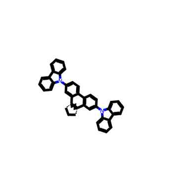 c1ccc2c(c1)c1ccccc1n2-c1ccc2c(c1)[C@]13CCC[C@]1(CCC3)c1cc(-n3c4ccccc4c4ccccc43)ccc1-2